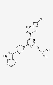 CC1CC(C)(NC(=O)c2cc(N3CCC(c4n[nH]c5ncccc45)CC3)nc(OC[C@@H](C)O)n2)C1